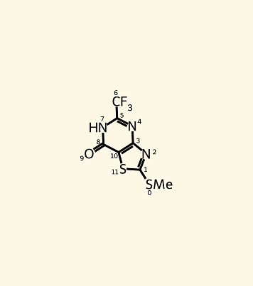 CSc1nc2nc(C(F)(F)F)[nH]c(=O)c2s1